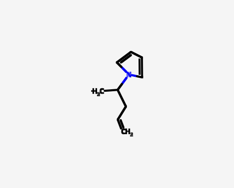 [CH2]C(CC=C)n1cccc1